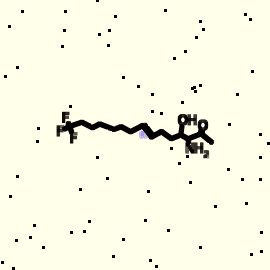 CC(=O)C(N)C(O)CC/C=C/CCCCCCC(F)(F)F